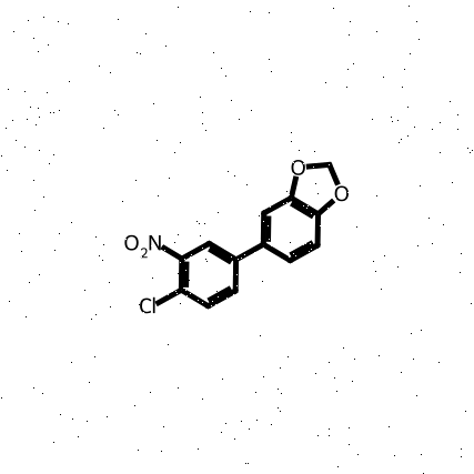 O=[N+]([O-])c1cc(-c2ccc3c(c2)OCO3)ccc1Cl